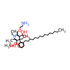 CCCCCCCCCCCCCCCc1cccc(OCC)c1C1(CC)C(C(=O)O)=C(C)N(CC)C(COCCN)=C1C(=O)O